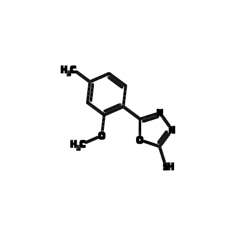 COc1cc(C)ccc1-c1nnc(S)o1